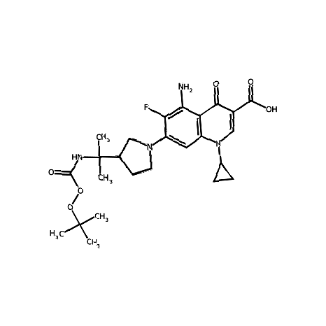 CC(C)(C)OOC(=O)NC(C)(C)C1CCN(c2cc3c(c(N)c2F)c(=O)c(C(=O)O)cn3C2CC2)C1